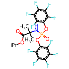 CC(C)OC(=O)C(C)(C)NP(=O)(Oc1c(F)c(F)c(F)c(F)c1F)Oc1c(F)c(F)c(F)c(F)c1F